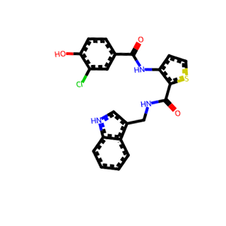 O=C(Nc1ccsc1C(=O)NCc1c[nH]c2ccccc12)c1ccc(O)c(Cl)c1